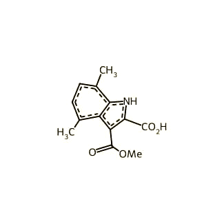 COC(=O)c1c(C(=O)O)[nH]c2c(C)ccc(C)c12